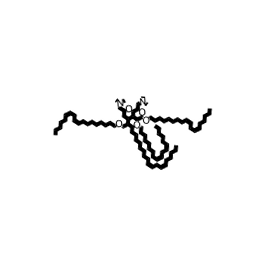 CCCCC/C=C\C/C=C\CCCCCCCCCC(COCCCCCCCC/C=C\C/C=C\CCCCC)C(CC(=O)CN(C)C)C(CC(=O)CN(C)C)C(COCCCCCCCC/C=C\C/C=C\CCCCC)OCCCCCCCC/C=C\C/C=C\CCCCC